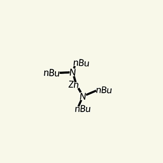 CCCC[N](CCCC)[Zn][N](CCCC)CCCC